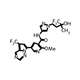 COc1ncc(-c2cc(C(F)(F)F)c3cncnn23)cc1C(=O)Nc1cnn(CCC(C)(O)C(F)(F)F)c1